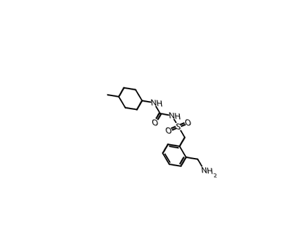 CC1CCC(NC(=O)NS(=O)(=O)Cc2ccccc2CN)CC1